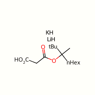 CCCCCCC(C)(OC(=O)CC(=O)O)C(C)(C)C.[KH].[LiH]